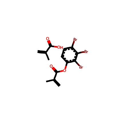 C=C(C)C(=O)O.C=C(C)C(=O)Oc1ccc(Br)c(Br)c1Br